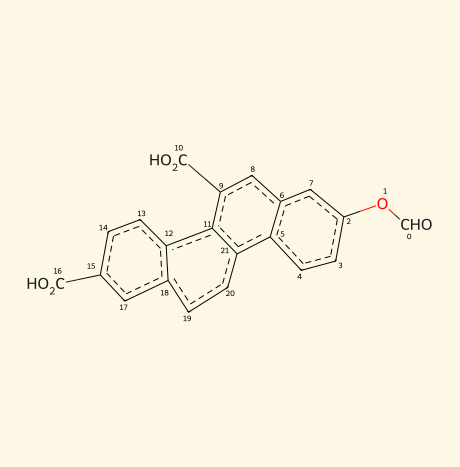 O=COc1ccc2c(c1)cc(C(=O)O)c1c3ccc(C(=O)O)cc3ccc21